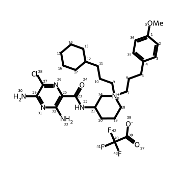 COc1ccc(CCC[N+]2(CCCC3CCCCC3)CCCC(NC(=O)c3nc(Cl)c(N)nc3N)C2)cc1.O=C([O-])C(F)(F)F